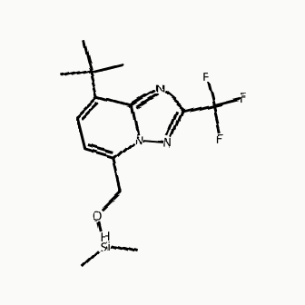 C[SiH](C)OCc1ccc(C(C)(C)C)c2nc(C(F)(F)F)nn12